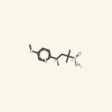 COc1ccc([C@H](C)CC(C)(C)[S@+](N)[O-])nc1